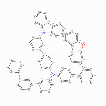 c1ccc(-c2cccc(-c3cccc(N(c4ccc(-c5cccc(-n6c7ccccc7c7ccccc76)c5)cc4)c4ccc(-c5ccccc5-c5ccc6c(c5)oc5ccccc56)cc4)c3)c2)cc1